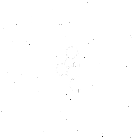 O=CCC(=O)c1cccc2c1[nH]c1ccccc12